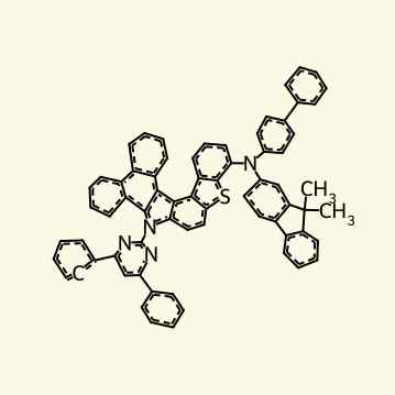 CC1(C)c2ccccc2-c2ccc(N(c3ccc(-c4ccccc4)cc3)c3cccc4c3sc3ccc5c(c34)c3c4ccccc4c4ccccc4c3n5-c3nc(-c4ccccc4)cc(-c4ccccc4)n3)cc21